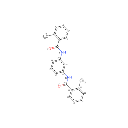 Cc1ccccc1C(=O)Nc1cccc(NC(=O)c2ccccc2C)c1